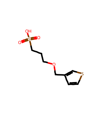 O=S(=O)(O)CCCOCc1ccsc1